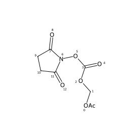 CC(=O)OCOC(=O)ON1C(=O)CCC1=O